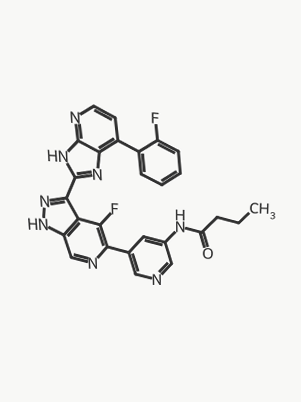 CCCC(=O)Nc1cncc(-c2ncc3[nH]nc(-c4nc5c(-c6ccccc6F)ccnc5[nH]4)c3c2F)c1